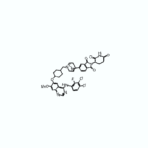 COc1cc2ncnc(Nc3ccc(Cl)c(Cl)c3F)c2cc1OC1CCC(CN2CC3CCC2CN3c2ccc3c(c2)C(=O)N(C2CCC(=O)NC2=O)C3=O)CC1